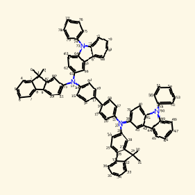 CC1(C)c2ccccc2-c2ccc(N(c3ccc(-c4ccc(N(c5ccc6c(c5)C(C)(C)c5ccccc5-6)c5ccc6c(c5)c5ccccc5n6-c5ccccc5)cc4)cc3)c3ccc4c(c3)c3ccccc3n4-c3ccccc3)cc21